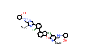 COc1nc(O[C@H]2CCc3c(-c4cccc(-c5cnc(CN[C@@H]6CCC[C@@H]6O)c(OC)n5)c4Cl)cccc32)c(Cl)cc1CN[C@@H]1CCC[C@@H]1O